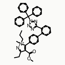 CCC[N+]1(C)N=C(CC)C(C(=O)OC)=C1c1ccc(-c2ccccc2-c2nnn(C(c3ccccc3)(c3ccccc3)c3ccccc3)n2)cc1